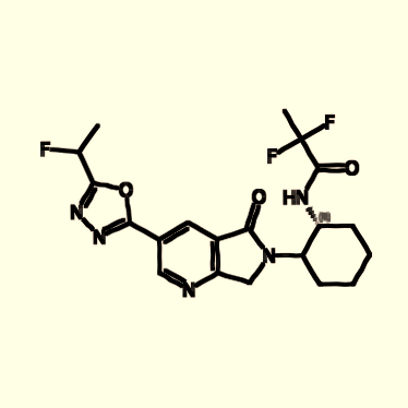 CC(F)c1nnc(-c2cnc3c(c2)C(=O)N(C2CCCC[C@H]2NC(=O)C(C)(F)F)C3)o1